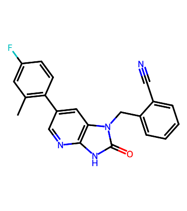 Cc1cc(F)ccc1-c1cnc2[nH]c(=O)n(Cc3ccccc3C#N)c2c1